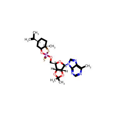 C=C(C)[C@H]1CC[C@@]2(C)SP(=S)(OC[C@H]3O[C@@H](n4cnc5c(C)ncnc54)[C@@H]4OC(C)(C)O[C@@H]43)OC2C1